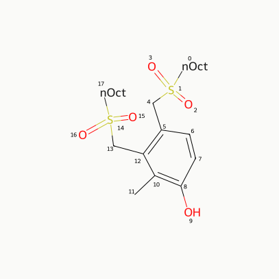 CCCCCCCCS(=O)(=O)Cc1ccc(O)c(C)c1CS(=O)(=O)CCCCCCCC